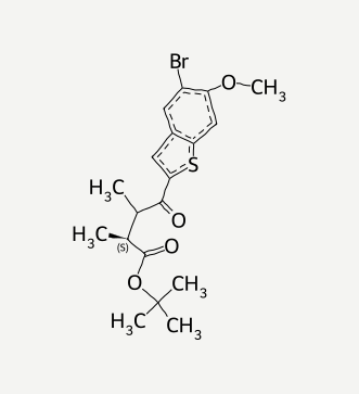 COc1cc2sc(C(=O)C(C)[C@H](C)C(=O)OC(C)(C)C)cc2cc1Br